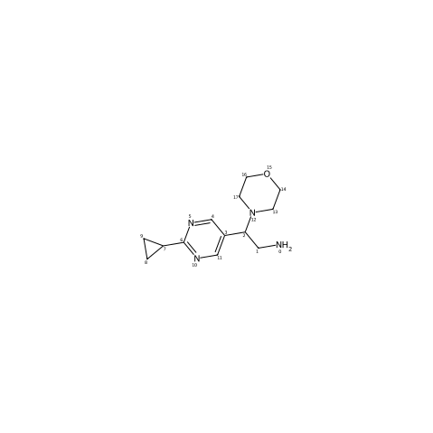 NCC(c1cnc(C2CC2)nc1)N1CCOCC1